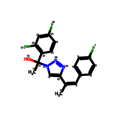 CC(=Cc1ccc(F)cc1)c1cn(C(C)(O)c2ccc(F)cc2F)nn1